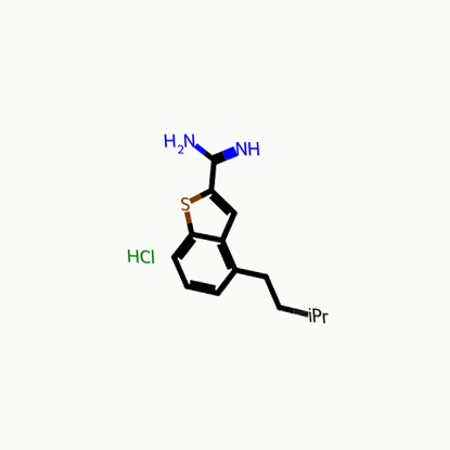 CC(C)CCc1cccc2sc(C(=N)N)cc12.Cl